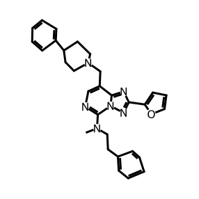 CN(CCc1ccccc1)c1ncc(CN2CCC(c3ccccc3)CC2)c2nc(-c3ccco3)nn12